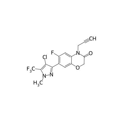 C#CCN1C(=O)COc2cc(-c3nn(C)c(C(F)(F)F)c3Cl)c(F)cc21